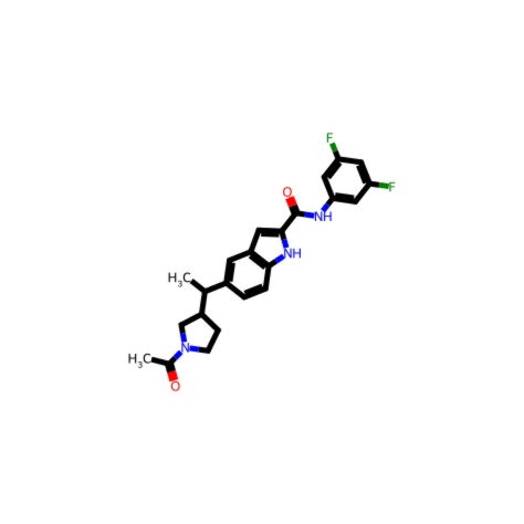 CC(=O)N1CCC(C(C)c2ccc3[nH]c(C(=O)Nc4cc(F)cc(F)c4)cc3c2)C1